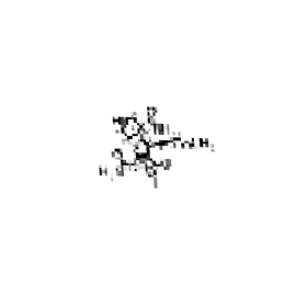 COCC#Cc1csc(NC(N)=O)c1C(=O)O.NC(=O)[C@H]1CCCNC1